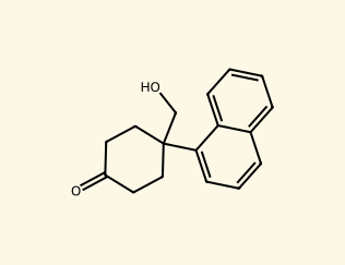 O=C1CCC(CO)(c2cccc3ccccc23)CC1